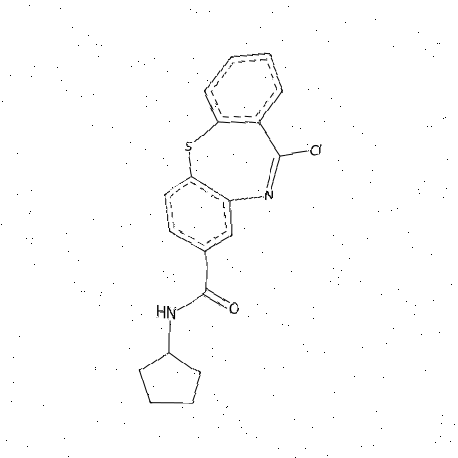 O=C(NC1CCCC1)c1ccc2c(c1)N=C(Cl)c1ccccc1S2